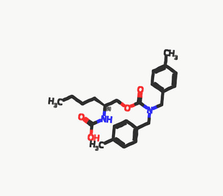 CCCC[C@@H](COC(=O)N(Cc1ccc(C)cc1)Cc1ccc(C)cc1)NC(=O)O